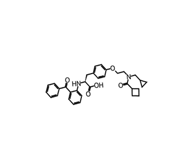 O=C(c1ccccc1)c1ccccc1N[C@@H](Cc1ccc(OCCN(CC2CC2)C(=O)C2CCC2)cc1)C(=O)O